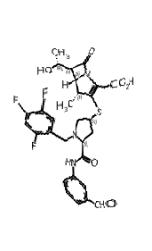 C[C@@H](O)[C@H]1C(=O)N2C(C(=O)O)=C(S[C@H]3C[C@@H](C(=O)Nc4cccc(C=O)c4)N(Cc4cc(F)c(F)cc4F)C3)[C@H](C)[C@H]12